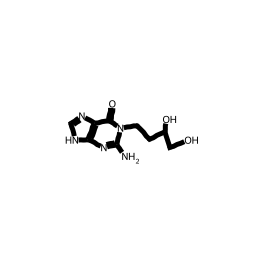 Nc1nc2[nH]cnc2c(=O)n1CCC(O)CO